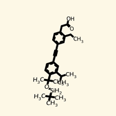 CCc1cc(C#Cc2ccc(C(C)(C)O[SiH2]C(C)(C)C)c(C(C)C)c2)ccc1CC(=O)O